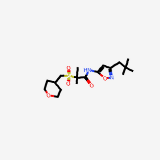 CC(C)(C)Cc1cc(NC(=O)C(C)(C)S(=O)(=O)CC2CCOCC2)on1